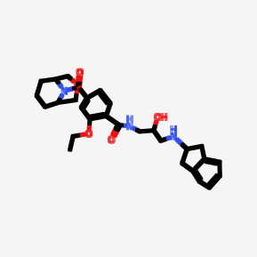 CCOc1cc(C(=O)N2C3CCCC2COC3)ccc1C(=O)NCC(O)CNC1Cc2ccccc2C1